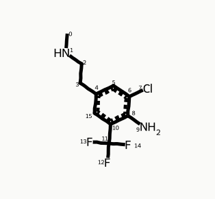 CNCCc1cc(Cl)c(N)c(C(F)(F)F)c1